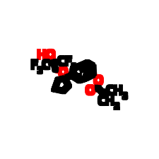 C=C(C)C(=O)OC1C2CC3CC1CC(C1(OCC(O)(C(F)(F)F)C(F)(F)F)CCCC1)(C3)C2